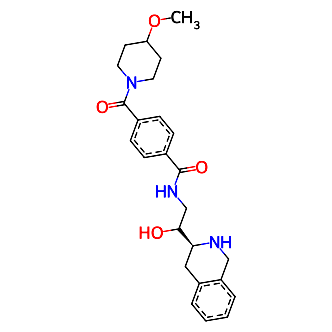 COC1CCN(C(=O)c2ccc(C(=O)NCC(O)[C@@H]3Cc4ccccc4CN3)cc2)CC1